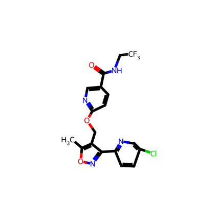 Cc1onc(-c2ccc(Cl)cn2)c1COc1ccc(C(=O)NCC(F)(F)F)cn1